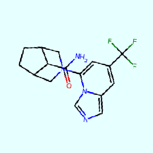 NC(=O)C1C2CCC1CN(c1cc(C(F)(F)F)cc3cncn13)C2